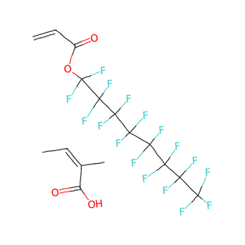 C=CC(=O)OC(F)(F)C(F)(F)C(F)(F)C(F)(F)C(F)(F)C(F)(F)C(F)(F)C(F)(F)F.CC=C(C)C(=O)O